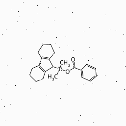 [CH3][Ti]([CH3])([O]C(=O)c1ccccc1)[CH]1C2=C(CCCC2)C2=C1CCCC2